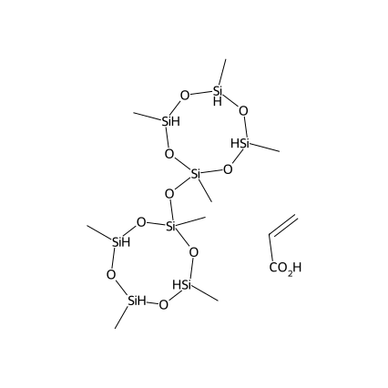 C=CC(=O)O.C[SiH]1O[SiH](C)O[Si](C)(O[Si]2(C)O[SiH](C)O[SiH](C)O[SiH](C)O2)O[SiH](C)O1